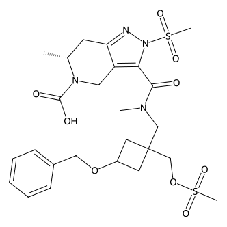 C[C@@H]1Cc2nn(S(C)(=O)=O)c(C(=O)N(C)CC3(COS(C)(=O)=O)CC(OCc4ccccc4)C3)c2CN1C(=O)O